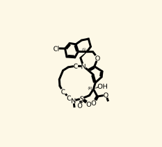 COC(=O)[C@@]1(O)CS(=O)(=O)N(C)CCCCCCCN2C[C@@]3(CCCc4cc(Cl)ccc43)COc3ccc1cc32